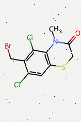 CN1C(=O)CSc2cc(Cl)c(CBr)c(Cl)c21